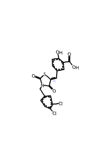 O=C(O)c1cc(/C=C2\SC(=O)N(Cc3ccc(Cl)c(Cl)c3)C2=O)ccc1O